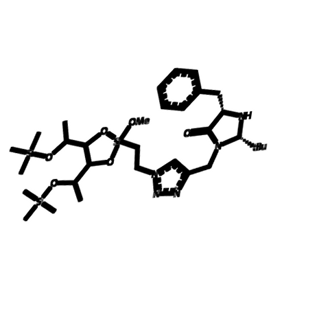 CO[Si]1(CCn2cc(CN3C(=O)[C@H](Cc4ccccc4)N[C@@H]3C(C)(C)C)nn2)OC(C(C)O[Si](C)(C)C)C(C(C)O[Si](C)(C)C)O1